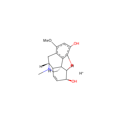 COc1cc(O)c2c3c1C[C@@H]1[C@@H]4C=C[C@H](O)[C@H](O2)[C@]34CCN1C.[H+]